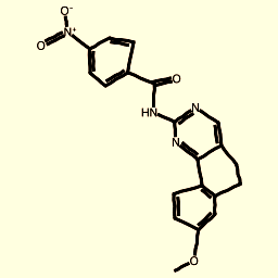 COc1ccc2c(c1)CCc1cnc(NC(=O)c3ccc([N+](=O)[O-])cc3)nc1-2